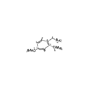 COc1ccc(CC(C)=O)c(OC)c1